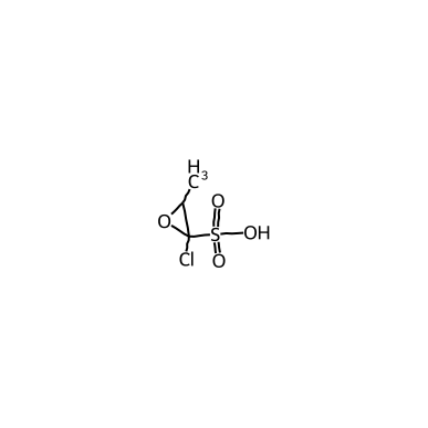 CC1OC1(Cl)S(=O)(=O)O